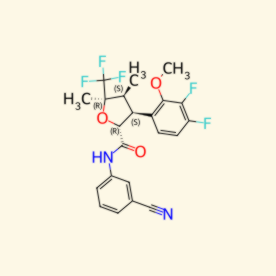 COc1c([C@H]2[C@H](C(=O)Nc3cccc(C#N)c3)O[C@@](C)(C(F)(F)F)[C@H]2C)ccc(F)c1F